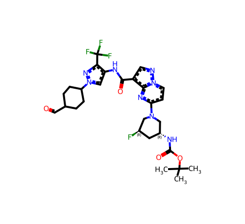 CC(C)(C)OC(=O)N[C@@H]1C[C@@H](F)CN(c2ccn3ncc(C(=O)Nc4cn(C5CCC(C=O)CC5)nc4C(F)(F)F)c3n2)C1